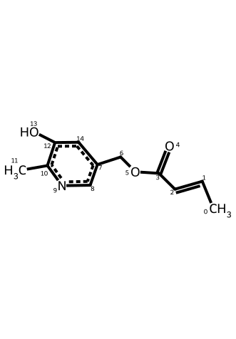 C/C=C/C(=O)OCc1cnc(C)c(O)c1